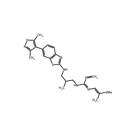 C=N/C(=N\C=C(/C)SC)NCC(C)CNc1nc2ccc(-c3c(C)noc3C)cc2s1